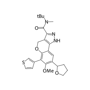 COc1c(C2CCCO2)cc2c(c1-c1ccsc1)OCc1c(C(=O)N(C)C(C)(C)C)n[nH]c1-2